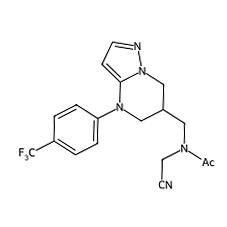 CC(=O)N(CC#N)CC1CN(c2ccc(C(F)(F)F)cc2)c2ccnn2C1